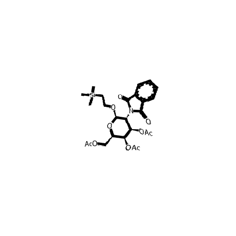 CC(=O)OC[C@H]1O[C@@H](OCC[Si](C)(C)C)[C@H](N2C(=O)c3ccccc3C2=O)[C@@H](OC(C)=O)[C@H]1OC(C)=O